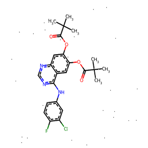 CC(C)(C)C(=O)Oc1cc2ncnc(Nc3ccc(F)c(Cl)c3)c2cc1OC(=O)C(C)(C)C